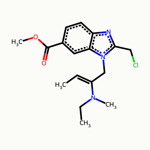 C/C=C(/Cn1c(CCl)nc2ccc(C(=O)OC)cc21)N(C)CC